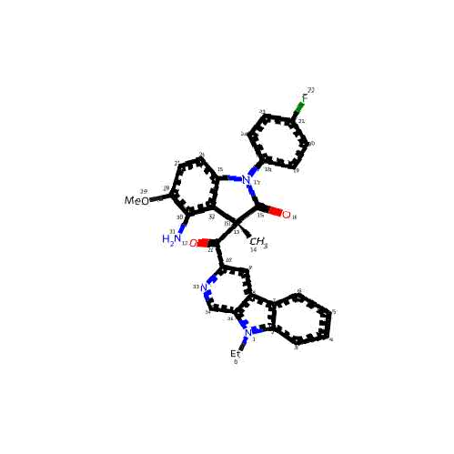 CCn1c2ccccc2c2cc(C(=O)[C@@]3(C)C(=O)N(c4ccc(F)cc4)c4ccc(OC)c(N)c43)ncc21